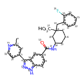 Cc1cc(-c2n[nH]c3ccc(C(=O)NC4CCCC(Cc5ccccc5F)(C(=O)O)C4)cc23)ccn1